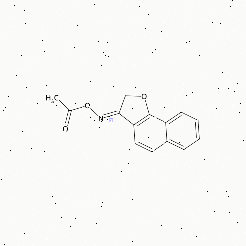 CC(=O)O/N=C1\COc2c1ccc1ccccc21